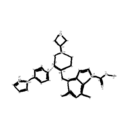 Cc1cc(C)c2c(ccn2C(=O)OC(C)(C)C)c1C[C@@H]1CCN(C2COC2)C[C@H]1c1ccc(-n2cccn2)cc1